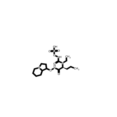 CCC[C@@H](C(=O)NOC1CCN2CCCCC12)N(CC)C(=O)NOS(=O)(=O)O